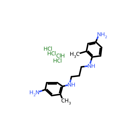 Cc1cc(N)ccc1NCCCNc1ccc(N)cc1C.Cl.Cl.Cl.Cl